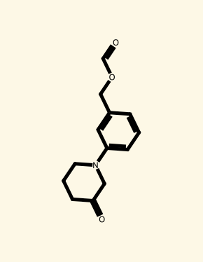 O=COCc1cccc(N2CCCC(=O)C2)c1